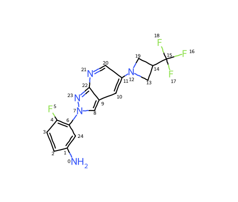 Nc1ccc(F)c(-n2cc3cc(N4CC(C(F)(F)F)C4)cnc3n2)c1